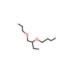 [CH2]CCOCC(CC)OCCCC